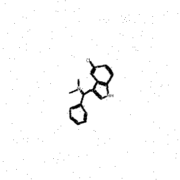 CN(C)C(c1ccccc1)c1c[nH]c2ccc(Cl)cc12